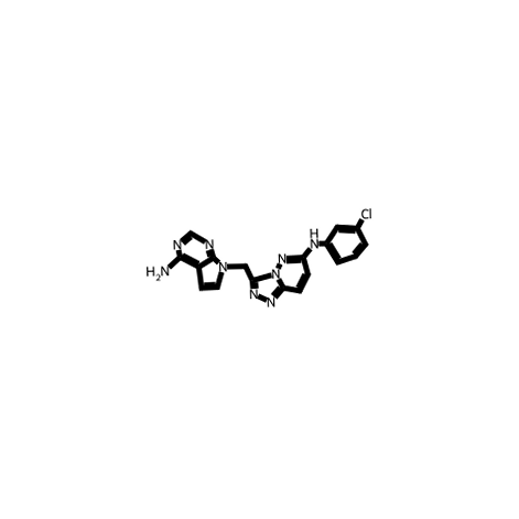 Nc1ncnc2c1ccn2Cc1nnc2ccc(Nc3cccc(Cl)c3)nn12